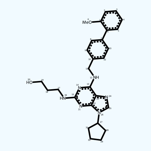 COc1ccccc1-c1ccc(CNc2nc(NCCCO)nc3c2ncn3C2CCCC2)cc1